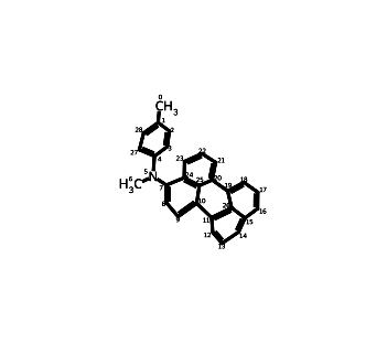 Cc1ccc(N(C)c2ccc3c4cccc5cccc(c6cccc2c63)c54)cc1